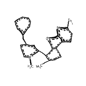 Cc1ccc2c(n1)oc1c(-c3cc(-c4ccccc4)cc[n+]3C)c(C)ccc12